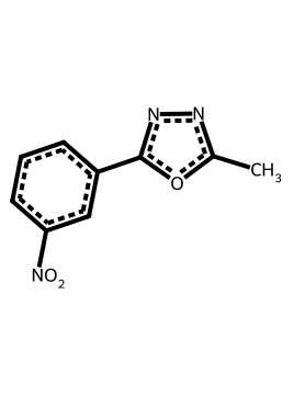 Cc1nnc(-c2cccc([N+](=O)[O-])c2)o1